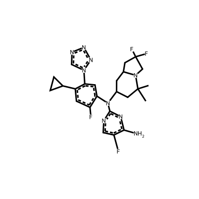 CC1(C)CC(N(c2ncc(F)c(N)n2)c2cc(-n3cnnn3)c(C3CC3)cc2F)CC2CC(F)(F)CN21